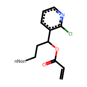 C=CC(=O)OC(CCCCCCCCCCC)c1cccnc1Cl